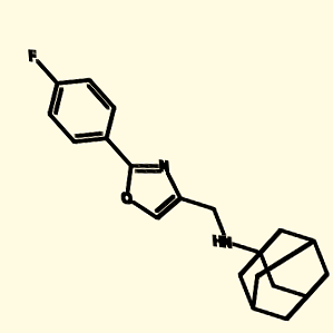 Fc1ccc(-c2nc(CNC34CC5CC(CC(C5)C3)C4)co2)cc1